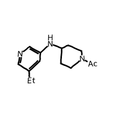 CCc1cncc(NC2CCN(C(C)=O)CC2)c1